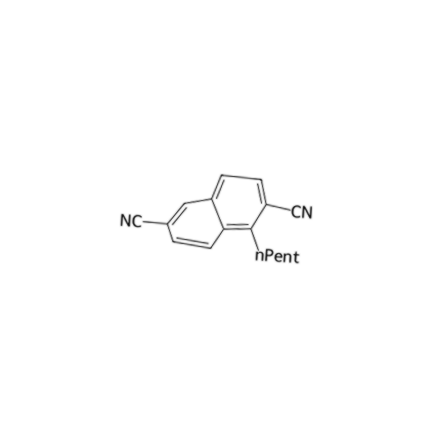 CCCCCc1c(C#N)ccc2cc(C#N)ccc12